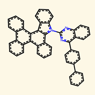 c1ccc(-c2ccc(-c3nc(-n4c5ccccc5c5c6c7ccccc7c7ccccc7c6c6ccccc6c54)nc4ccccc34)cc2)cc1